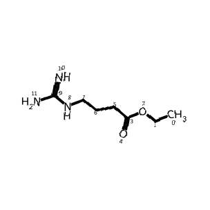 CCOC(=O)CCCNC(=N)N